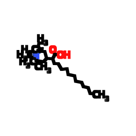 CCCCCCCCCCCCC(C(=O)O)C1CC(C)(C)N(C)C(C)(C)C1